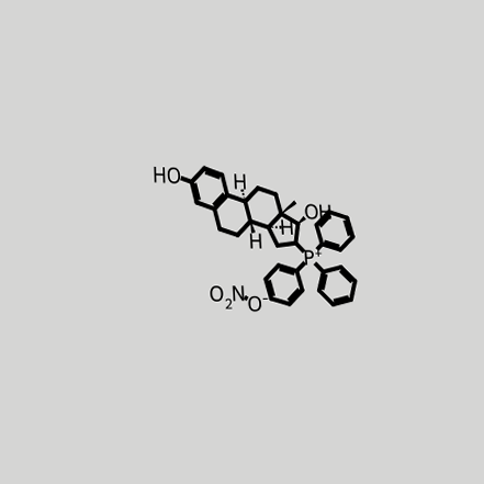 C[C@]12CC[C@@H]3c4ccc(O)cc4CC[C@H]3[C@@H]1CC([P+](c1ccccc1)(c1ccccc1)c1ccccc1)[C@@H]2O.O=[N+]([O-])[O-]